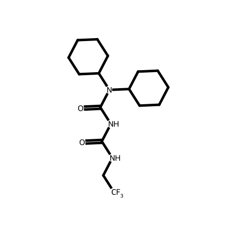 O=C(NCC(F)(F)F)NC(=O)N(C1CCCCC1)C1CCCCC1